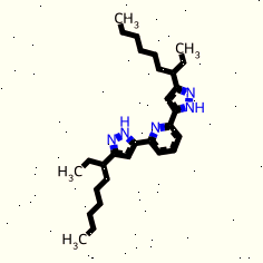 CCCCCCC(CC)c1cc(-c2cccc(-c3cc(C(CC)CCCCCC)n[nH]3)n2)[nH]n1